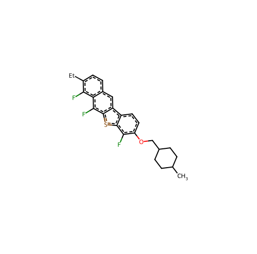 CCc1ccc2cc3c(sc4c(F)c(OCC5CCC(C)CC5)ccc43)c(F)c2c1F